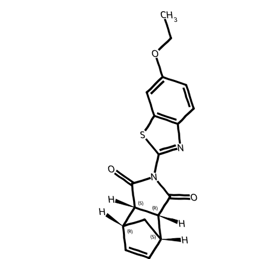 CCOc1ccc2nc(N3C(=O)[C@@H]4[C@H](C3=O)[C@@H]3C=C[C@H]4C3)sc2c1